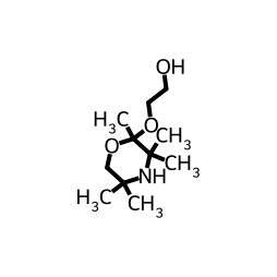 CC1(C)COC(C)(OCCO)C(C)(C)N1